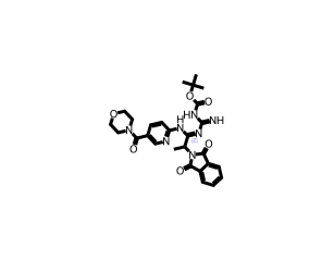 CC(/C(=N/C(=N)NC(=O)OC(C)(C)C)Nc1ccc(C(=O)N2CCOCC2)cn1)N1C(=O)c2ccccc2C1=O